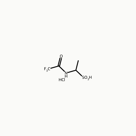 CC(NC(=O)C(F)(F)F)S(=O)(=O)O.Cl